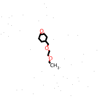 CCOCCOCC1CCC2OC2C1